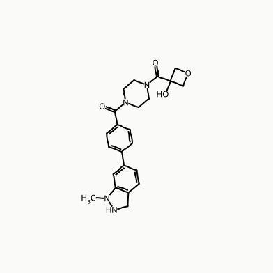 CN1NCc2ccc(-c3ccc(C(=O)N4CCN(C(=O)C5(O)COC5)CC4)cc3)cc21